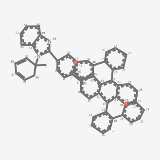 CC1(n2c(-c3ccc(-c4ccc5c(-c6ccccc6-c6ccccc6)c6ccccc6c(-c6ccccc6-c6ccccc6)c5c4)cc3)nc3ccccc32)C=CC=CC1